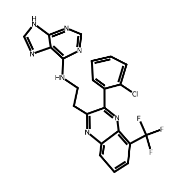 FC(F)(F)c1cccc2nc(CCNc3ncnc4[nH]cnc34)c(-c3ccccc3Cl)nc12